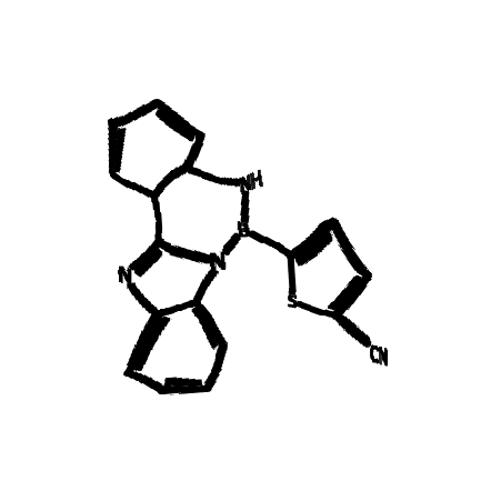 N#Cc1ccc(B2NC3C=CC=CC3c3nc4ccccc4n32)s1